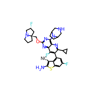 N#Cc1c(N)sc2cc(F)cc(-c3c(C4CC4)nc4c(N5C6CCC5CNC6)nc(OC[C@@]56CCCN5C[C@H](F)C6)nc4c3F)c12